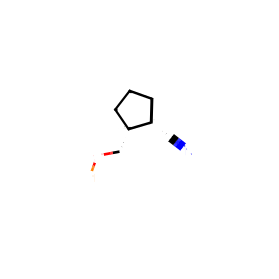 N#C[C@H]1CCC[C@H]1COP